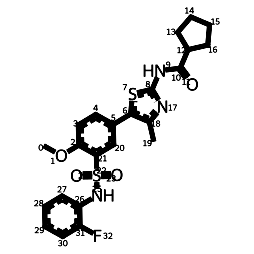 COc1ccc(-c2sc(NC(=O)C3CCCC3)nc2C)cc1S(=O)(=O)Nc1ccccc1F